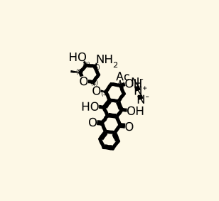 CC(=O)[C@]1(O)Cc2c(O)c3c(c(O)c2[C@@H](O[C@H]2C[C@H](N)[C@H](O)[C@H](C)O2)C1)C(=O)c1ccccc1C3=O.[N-]=[N+]=[N-]